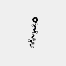 CC(C)CNC(=O)NCCOC(=O)/C=C/C(=O)Oc1ccccc1